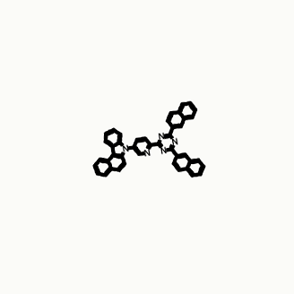 c1ccc2cc(-c3nc(-c4ccc5ccccc5c4)nc(-c4ccc(-n5c6ccccc6c6c7ccccc7ccc65)cn4)n3)ccc2c1